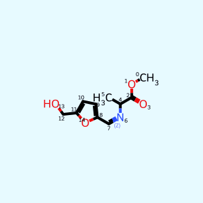 COC(=O)C(C)/N=C\c1ccc(CO)o1